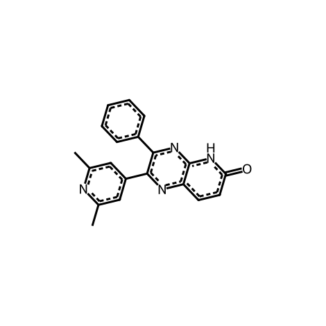 Cc1cc(-c2nc3ccc(=O)[nH]c3nc2-c2ccccc2)cc(C)n1